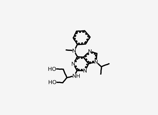 CC(C)n1cnc2c(N(C)c3ccccc3)nc(NC(CO)CO)nc21